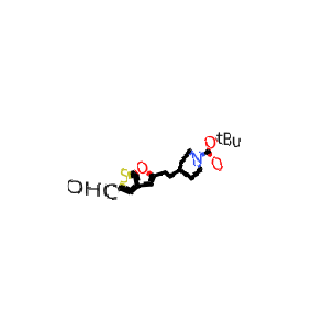 CC(C)(C)OC(=O)N1CCC(CCc2cc3cc(C=O)sc3o2)CC1